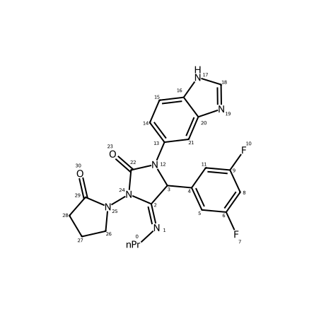 CCCN=C1C(c2cc(F)cc(F)c2)N(c2ccc3[nH]cnc3c2)C(=O)N1N1CCCC1=O